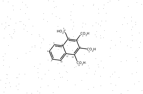 O=C(O)c1c(C(=O)O)c(C(=O)O)c2ccccc2c1C(=O)O